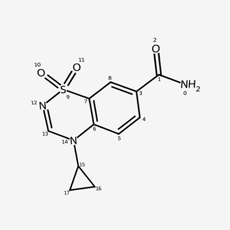 NC(=O)c1ccc2c(c1)S(=O)(=O)N=CN2C1CC1